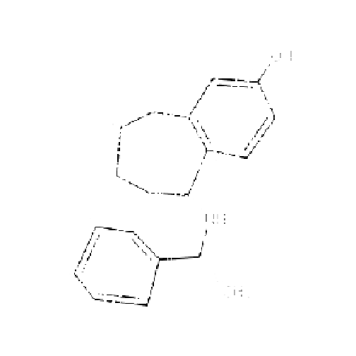 C[C@@H](N[C@@H]1CCCCc2cc(O)ccc21)c1ccccc1